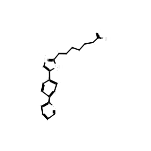 NC(=O)CCCCCCc1ncc(-c2ccc(-c3ccccn3)cc2)[nH]1